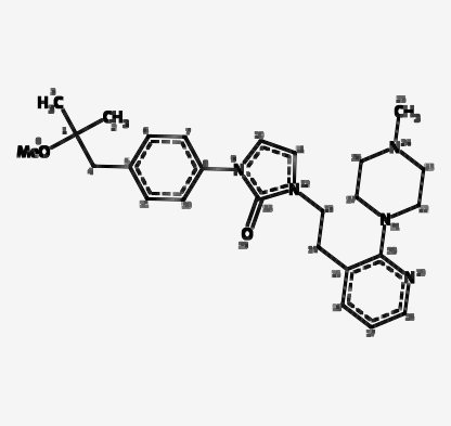 COC(C)(C)Cc1ccc(-n2ccn(CCc3cccnc3N3CCN(C)CC3)c2=O)cc1